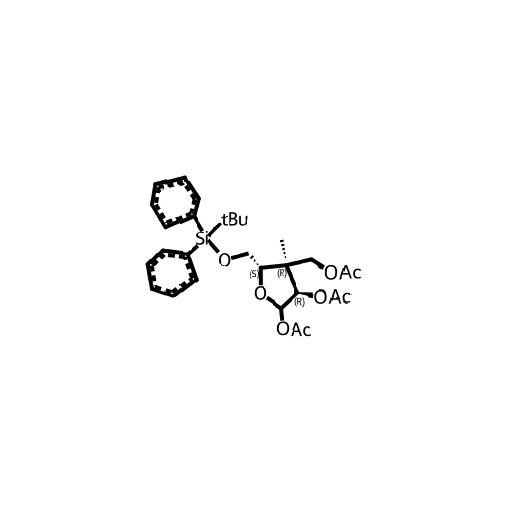 CC(=O)OC[C@]1(C)[C@@H](CO[Si](c2ccccc2)(c2ccccc2)C(C)(C)C)OC(OC(C)=O)[C@@H]1OC(C)=O